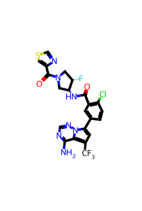 Nc1ncnn2c(-c3ccc(Cl)c(C(=O)N[C@@H]4CN(C(=O)c5cscn5)C[C@@H]4F)c3)cc(C(F)(F)F)c12